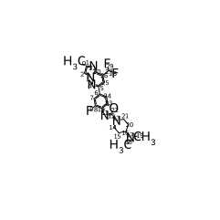 Cc1cn2nc(-c3cc(F)c4nc(N5CCC(N(C)C)CC5)oc4c3)cc(C(F)F)c2n1